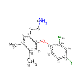 Cc1cc(CCN)c(Oc2ccc(Cl)cc2F)cc1C